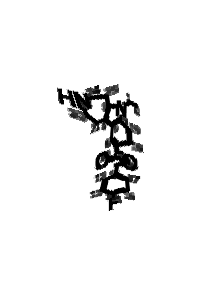 CCn1c2c(c3cc(S(=O)(=O)c4ccc(F)cc4)ccc31)CCNCC2